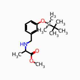 COC(=O)C(C)NCc1cccc(O[Si](C)(C)C(C)(C)C)c1